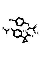 NC(=O)[C@H](Cc1ccc(Br)cc1)NC(=O)C1(c2ccc(OC(F)F)cc2)CC1